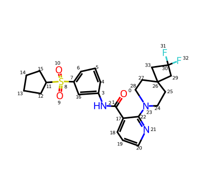 O=C(Nc1cccc(S(=O)(=O)C2CCCC2)c1)c1cccnc1N1CCC2(CC1)CC(F)(F)C2